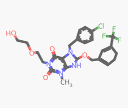 Cn1c2c(c(=O)n(CCOCCO)c1=O)N(Cc1ccc(Cl)cc1)C(OCC1=CCCC(C(F)(F)F)=C1)N2